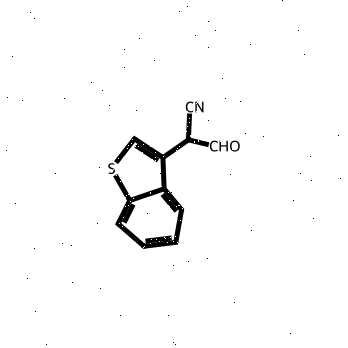 N#CC(C=O)c1csc2ccccc12